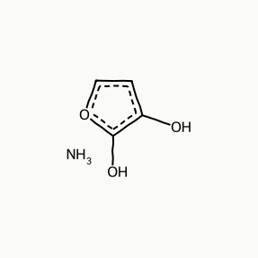 N.Oc1ccoc1O